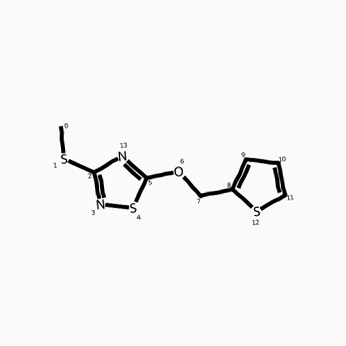 CSc1nsc(OCc2cccs2)n1